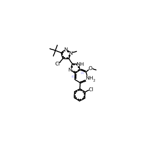 C=C(/C=c1/nc(-c2c(Cl)c(C(C)(C)C)nn2C)[nH]/c1=C(/N)OC)c1ccccc1Cl